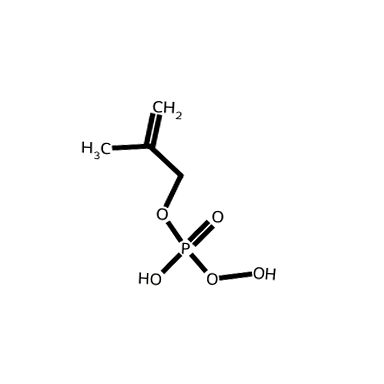 C=C(C)COP(=O)(O)OO